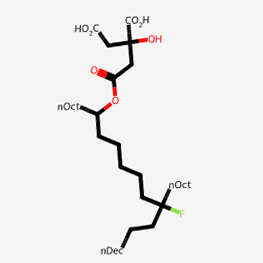 CCCCCCCCCCCCC(F)(CCCCCCCC)CCCCCC(CCCCCCCC)OC(=O)CC(O)(CC(=O)O)C(=O)O